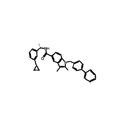 Cc1c(C)n(Cc2ccc(-c3ccccc3)cc2)c2ccc(C(=O)N[C@@H](C)c3cccc(C4CC4)c3)cc12